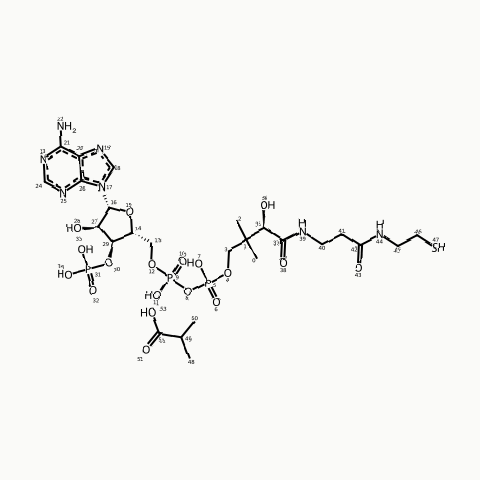 CC(C)(COP(=O)(O)OP(=O)(O)OC[C@H]1O[C@@H](n2cnc3c(N)ncnc32)[C@H](O)[C@@H]1OP(=O)(O)O)[C@@H](O)C(=O)NCCC(=O)NCCS.CC(C)C(=O)O